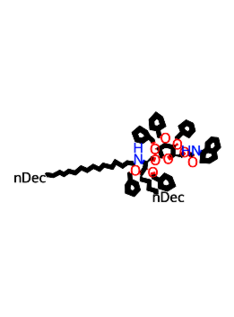 CCCCCCCCCCCCCCCCCCCCCCCCCCN[C@@H](CO[C@H]1O[C@H](COC(=O)Nc2cccc3ccccc23)[C@H](OCc2ccccc2)[C@H](OCc2ccccc2)[C@H]1OCc1ccccc1)[C@H](OCc1ccccc1)[C@@H](CCCCCCCCCCCCCC)OCc1ccccc1